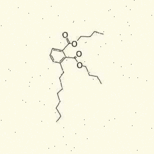 CCCCCCCCc1cccc(C(=O)OCCCC)c1C(=O)OCCCC